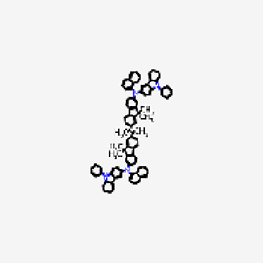 CC1(C)c2cc(N(c3ccc4c(c3)c3ccccc3n4-c3ccccc3)c3cccc4ccccc34)ccc2-c2ccc([Si](C)(C)c3ccc4c(c3)C(C)(C)c3cc(N(c5ccc6c(c5)c5ccccc5n6-c5ccccc5)c5cccc6ccccc56)ccc3-4)cc21